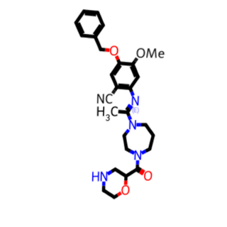 COc1cc(/N=C(\C)N2CCCN(C(=O)C3CNCCO3)CC2)c(C#N)cc1OCc1ccccc1